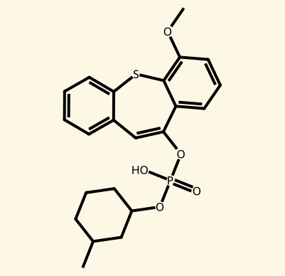 COc1cccc2c1Sc1ccccc1C=C2OP(=O)(O)OC1CCCC(C)C1